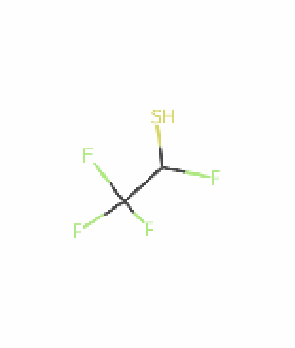 FC(S)C(F)(F)F